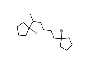 [CH2]C(CCCCC1(Br)CCCC1)C1(Br)CCCC1